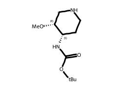 CO[C@@H]1[CH]NCC[C@@H]1NC(=O)OC(C)(C)C